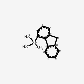 C[Si](C)(C)c1cccc2c1-c1ccccc1C2